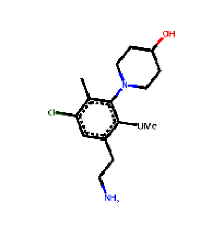 COc1c(CCN)cc(Cl)c(C)c1N1CCC(O)CC1